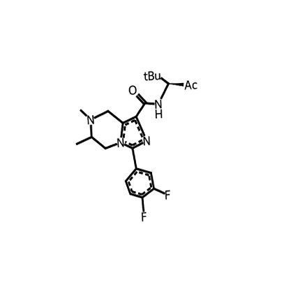 CC(=O)[C@@H](NC(=O)c1nc(-c2ccc(F)c(F)c2)n2c1CN(C)C(C)C2)C(C)(C)C